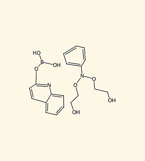 OB(O)Oc1ccc2ccccc2n1.OCCON(OCCO)c1ccccc1